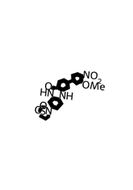 COc1cc(-c2ccc3c(c2)Nc2ccc(N4CCCS4(=O)=O)cc2NC3=O)ccc1[N+](=O)[O-]